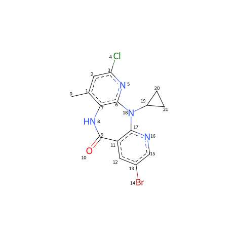 Cc1cc(Cl)nc2c1NC(=O)c1cc(Br)cnc1N2C1CC1